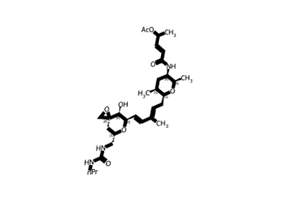 CCCNC(=O)NC[C@@H]1C[C@@]2(CO2)[C@H](O)[C@@H](C=CC(C)=CC[C@@H]2O[C@H](C)[C@H](NC(=O)C=CC(C)OC(C)=O)C[C@@H]2C)O1